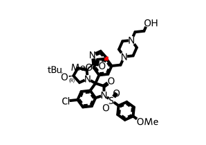 COc1ccc(S(=O)(=O)N2C(=O)C(c3cc(CN4CCN(CCO)CC4)ccc3OC)(N3C[C@H](OC(C)(C)C)C[C@H]3c3ncco3)c3cc(Cl)ccc32)cc1